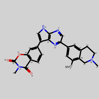 COc1cc(-c2cnc3[nH]cc(-c4ccc5c(=O)n(C)c(=O)oc5c4)c3n2)cc2c1CN(C)CC2